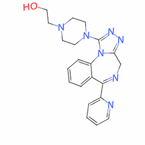 OCCN1CCN(c2nnc3n2-c2ccccc2C(c2ccccn2)=NC3)CC1